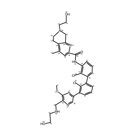 COc1nc(-c2cccc(-c3cccc(NC(=O)c4cc(C)c5c(n4)CN(CCO)CC5)c3Cl)c2Cl)cnc1CNCCO